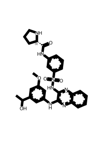 COc1cc(Nc2nc3ccccc3nc2NS(=O)(=O)c2cccc(NC(=O)[C@@H]3CCCN3)c2)cc(C(C)O)c1